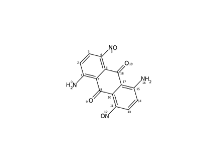 Nc1ccc(N=O)c2c1C(=O)c1c(N=O)ccc(N)c1C2=O